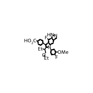 CCOCC(CC)c1c(-c2ccc(C(=O)O)cc2)c2c(F)c3[nH]ncc3cc2n1-c1ccc(F)c(OC)c1